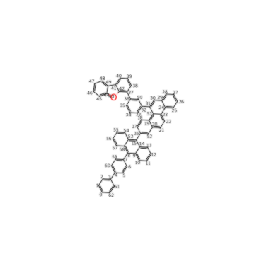 c1ccc(-c2ccc(-c3c4ccccc4c(-c4ccc5c(ccc6c7ccccc7cc(-c7cccc(-c8cccc9c8oc8ccccc89)c7)c56)c4)c4ccccc34)cc2)cc1